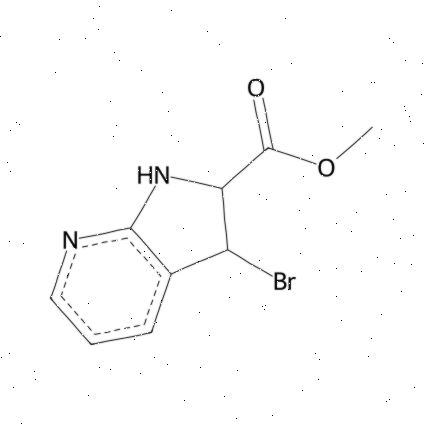 COC(=O)C1Nc2ncccc2C1Br